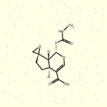 CNC(=O)O[C@@H]1OC=C(C(=O)O)[C@H]2CC[C@]3(CO3)[C@H]12